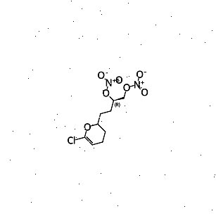 O=[N+]([O-])OC[C@@H](CCC1CCC=C(Cl)O1)O[N+](=O)[O-]